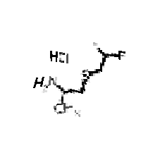 C[C@@H](N)CSCC(F)F.Cl